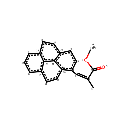 CCCOC(=O)C(C)=Cc1ccc2ccc3cccc4ccc1c2c34